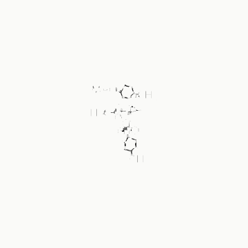 COc1ccc(C)c([C@@H]2C[C@@]2(COS(=O)(=O)c2ccc(C)cc2)C2OC(C)O2)c1